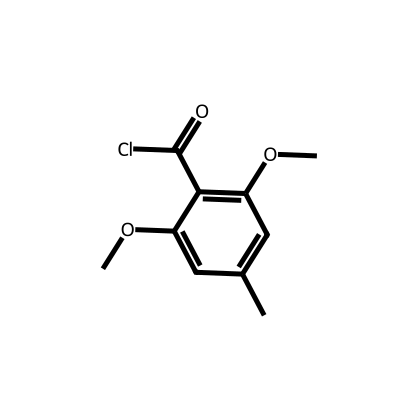 COc1cc(C)cc(OC)c1C(=O)Cl